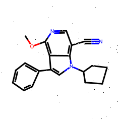 COc1ncc(C#N)c2c1c(-c1ccccc1)cn2C1CCCC1